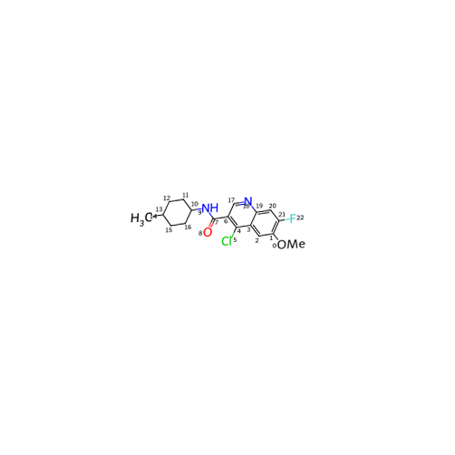 COc1cc2c(Cl)c(C(=O)NC3CCC(C)CC3)cnc2cc1F